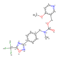 COc1ccncc1COC(=O)N(C)Cc1ccc(-c2noc(C(F)(F)F)n2)cc1